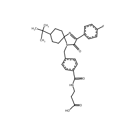 CC(C)(C)C1CCC2(CC1)N=C(c1ccc(F)cc1)C(=O)N2Cc1ccc(C(=O)NCCC(=O)O)cc1